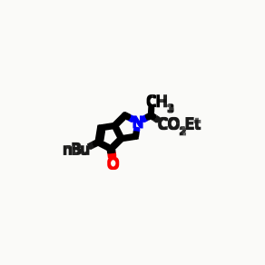 CCCCC1=CC2CN(C(C)C(=O)OCC)CC2C1=O